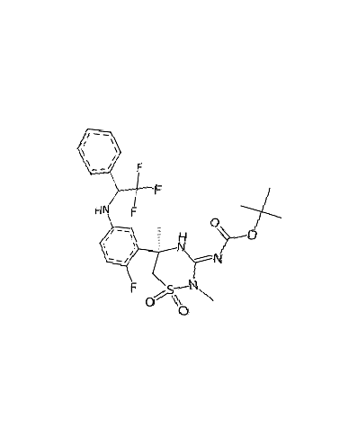 CN1/C(=N/C(=O)OC(C)(C)C)N[C@](C)(c2cc(NC(c3ccccc3)C(F)(F)F)ccc2F)CS1(=O)=O